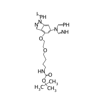 CC(C)(C)OC(=O)NCCCCOCCOc1cc(N(C=N)C=P)cc2c1cnn2PI